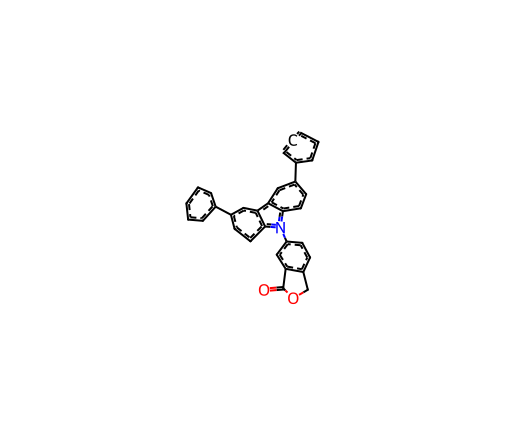 O=C1OCc2ccc(-n3c4ccc(-c5ccccc5)cc4c4cc(-c5ccccc5)ccc43)cc21